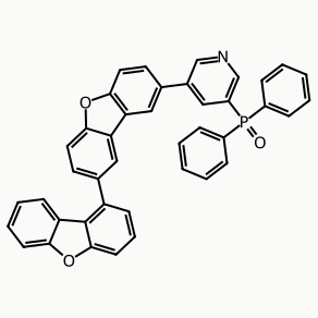 O=P(c1ccccc1)(c1ccccc1)c1cncc(-c2ccc3oc4ccc(-c5cccc6oc7ccccc7c56)cc4c3c2)c1